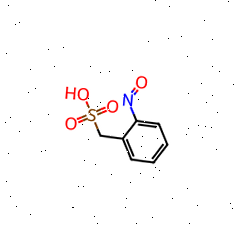 O=Nc1ccccc1CS(=O)(=O)O